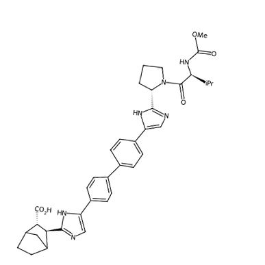 COC(=O)N[C@H](C(=O)N1CCC[C@H]1c1ncc(-c2ccc(-c3ccc(-c4cnc([C@H]5C6CCC(C6)[C@@H]5C(=O)O)[nH]4)cc3)cc2)[nH]1)C(C)C